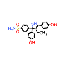 CCC1=C(c2ccc(O)cc2)N=NC1(c1ccc(O)cc1)c1ccc(S(N)(=O)=O)cc1